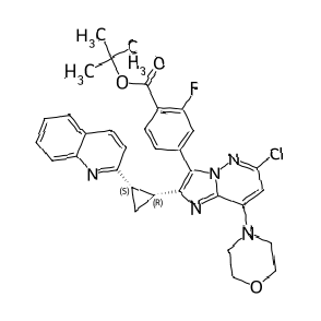 CC(C)(C)OC(=O)c1ccc(-c2c([C@@H]3C[C@@H]3c3ccc4ccccc4n3)nc3c(N4CCOCC4)cc(Cl)nn23)cc1F